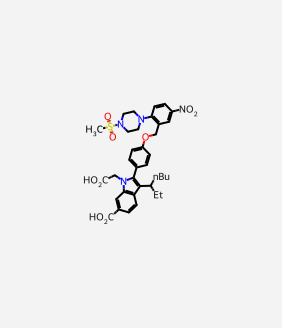 CCCCC(CC)c1c(-c2ccc(OCc3cc([N+](=O)[O-])ccc3N3CCN(S(C)(=O)=O)CC3)cc2)n(CC(=O)O)c2cc(C(=O)O)ccc12